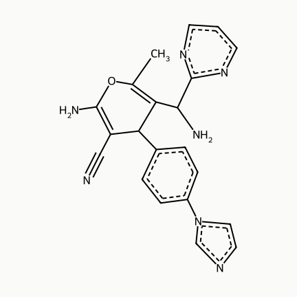 CC1=C(C(N)c2ncccn2)C(c2ccc(-n3ccnc3)cc2)C(C#N)=C(N)O1